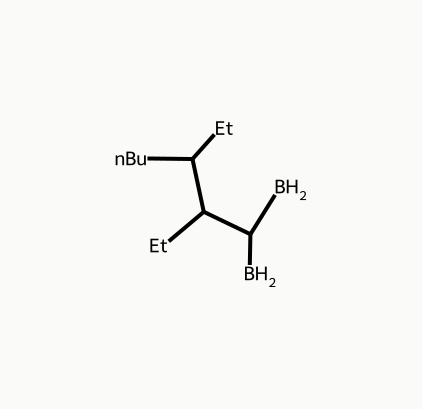 BC(B)C(CC)C(CC)CCCC